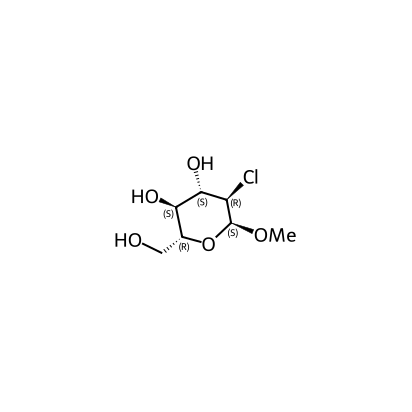 CO[C@H]1O[C@H](CO)[C@@H](O)[C@H](O)[C@H]1Cl